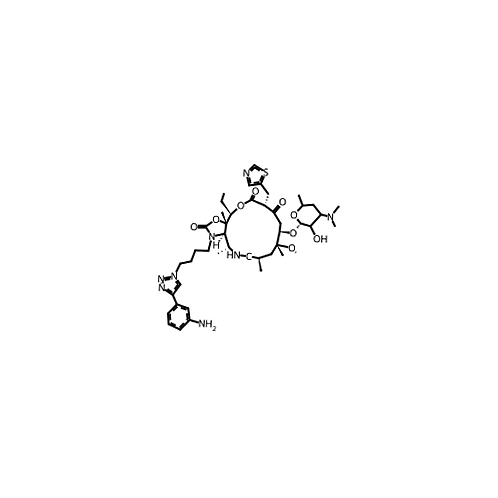 CC[C@H]1OC(=O)[C@H](Cc2cncs2)C(=O)C[C@@H](O[C@@H]2OC(C)CC(N(C)C)C2O)[C@](C)(OC)C[C@@H](C)CN[C@H](C)[C@H]2N(CCCCn3cc(-c4cccc(N)c4)nn3)C(=O)O[C@]12C